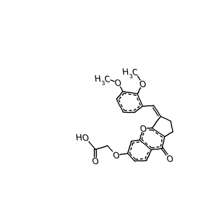 COc1cccc(/C=C2/CCc3c2oc2cc(OCC(=O)O)ccc2c3=O)c1OC